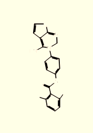 NC1=c2ccsc2=NCN1c1ccc(NC(=O)c2c(F)cccc2F)cc1